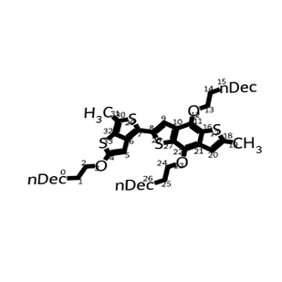 CCCCCCCCCCCCOc1cc2c(-c3cc4c(OCCCCCCCCCCCC)c5sc(C)cc5c(OCCCCCCCCCCCC)c4s3)sc(C)c2s1